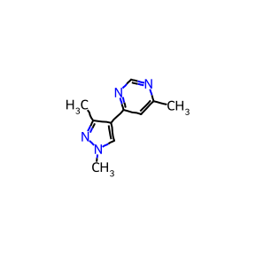 Cc1cc(-c2cn(C)nc2C)ncn1